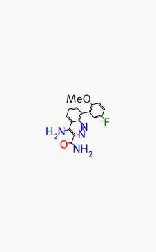 COc1ccc(F)cc1-c1cccc2c(N)c(C(N)=O)nnc12